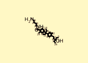 CCC(O)(/C=C/c1ccc(C(CC)(CC)c2ccc(C(=O)NCCCCN)c(C)c2)cc1C)CC